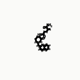 CC(C[CH]C(=O)N[C@H]1CCCN(Cc2ccc3ccccc3n2)CC1=O)C(N)=O